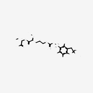 CN[C@@H](CCCNC(=N)NS(=O)(=O)c1c(C)c(C)c2c(c1C)CC(C)(C)O2)C(=O)N[C@@H](CO)C(=O)O